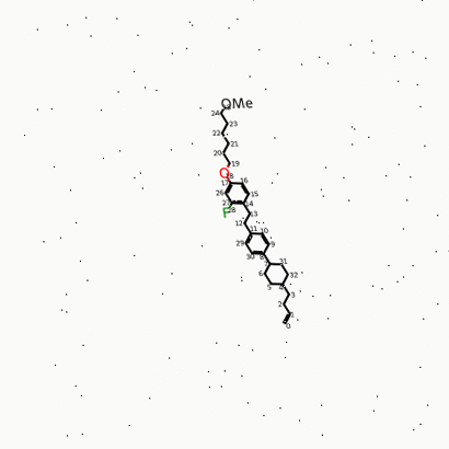 C=CCCC1CCC(c2ccc(CCc3ccc(OCCCCCCOC)cc3F)cc2)CC1